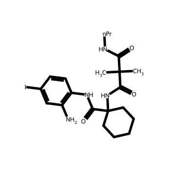 CCCNC(=O)C(C)(C)C(=O)NC1(C(=O)Nc2ccc(I)cc2N)CCCCC1